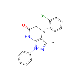 Cc1nn(-c2ccccc2)c2c1[C@@H](c1ccccc1Br)CC(=O)N2